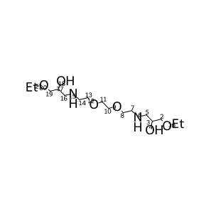 CCOCC(O)CNCCOCCOCCNCC(O)COCC